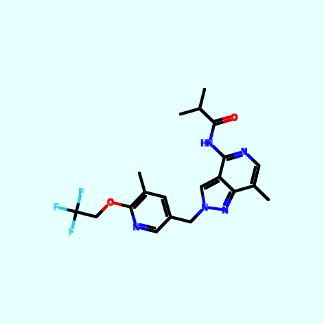 Cc1cc(Cn2cc3c(NC(=O)C(C)C)ncc(C)c3n2)cnc1OCC(F)(F)F